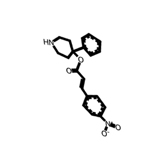 O=C(/C=C/c1ccc([N+](=O)[O-])cc1)OC1(c2ccccc2)CCNCC1